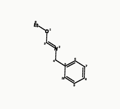 CCOC=NCc1ccccc1